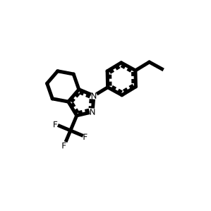 CCc1ccc(-n2nc(C(F)(F)F)c3c2CCCC3)cc1